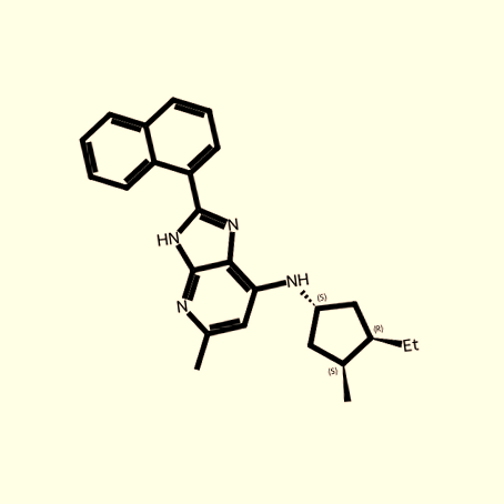 CC[C@@H]1C[C@@H](Nc2cc(C)nc3[nH]c(-c4cccc5ccccc45)nc23)C[C@@H]1C